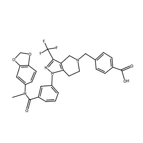 CN(C(=O)c1cccc(-n2nc(C(F)(F)F)c3c2CCN(Cc2ccc(C(=O)O)cc2)C3)c1)c1ccc2c(c1)OCO2